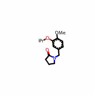 COc1ccc(CN2CCCC2=O)cc1OC(C)C